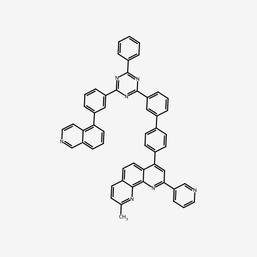 Cc1ccc2ccc3c(-c4ccc(-c5cccc(-c6nc(-c7ccccc7)nc(-c7cccc(-c8cccc9cnccc89)c7)n6)c5)cc4)cc(-c4cccnc4)nc3c2n1